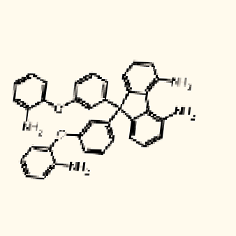 Nc1ccccc1Oc1cccc(C2(c3cccc(Oc4ccccc4N)c3)c3cccc(N)c3-c3c(N)cccc32)c1